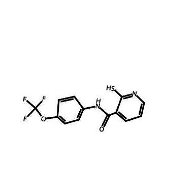 O=C(Nc1ccc(OC(F)(F)F)cc1)c1cccnc1S